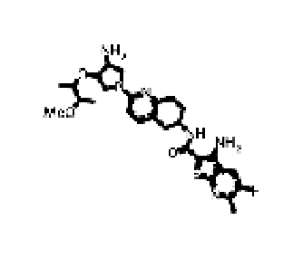 COC(C)C(C)OC1CN(c2ccc3c(n2)CCC(NC(=O)c2sc4nc(C)c(F)cc4c2N)C3)CC1N